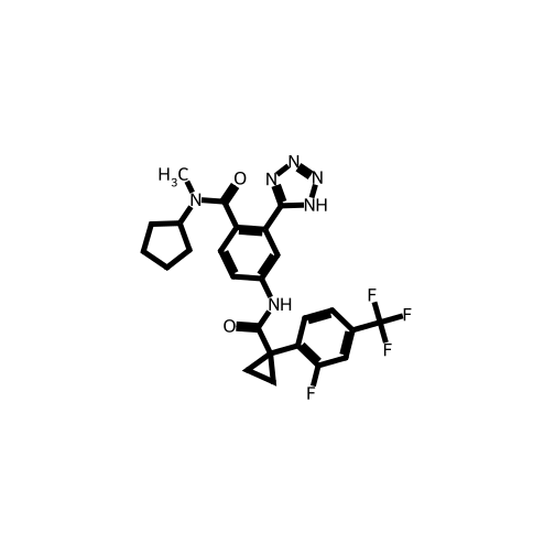 CN(C(=O)c1ccc(NC(=O)C2(c3ccc(C(F)(F)F)cc3F)CC2)cc1-c1nnn[nH]1)C1CCCC1